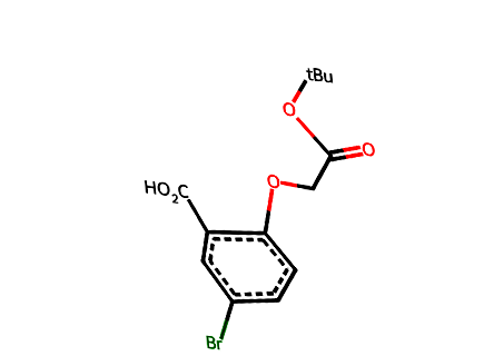 CC(C)(C)OC(=O)COc1ccc(Br)cc1C(=O)O